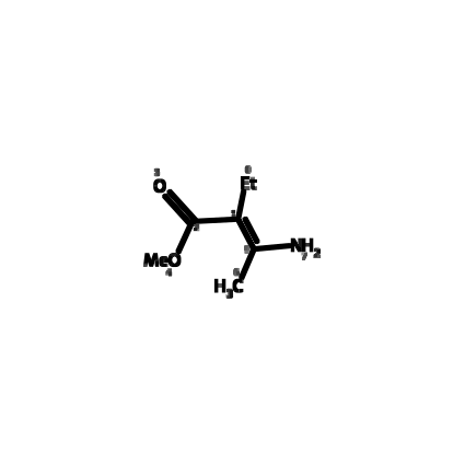 CCC(C(=O)OC)=C(C)N